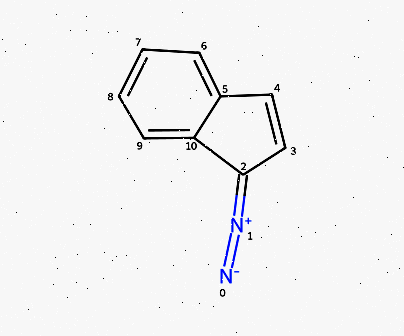 [N-]=[N+]=C1C=Cc2ccccc21